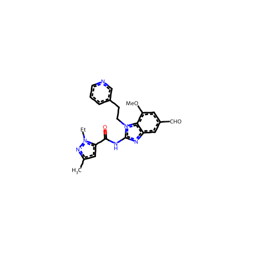 CCn1nc(C)cc1C(=O)Nc1nc2cc(C=O)cc(OC)c2n1CCc1cccnc1